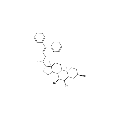 CC[C@@H]1C2C[C@H](O)CC[C@]2(C)C2CC[C@@]3(C)C(CC[C@@H]3[C@H](C)CC=C(c3ccccc3)c3ccccc3)C2[C@@H]1O